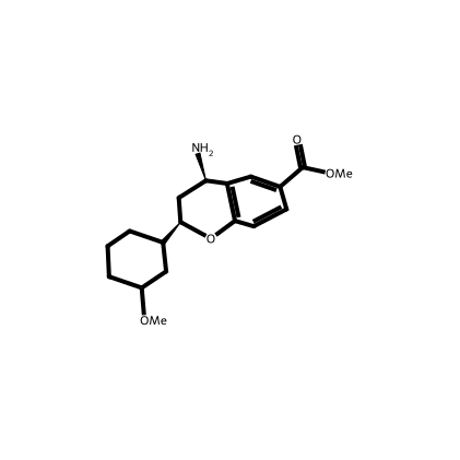 COC(=O)c1ccc2c(c1)[C@H](N)C[C@H](C1CCCC(OC)C1)O2